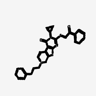 O=C(CSc1nc2sc3c(c2c(=O)n1C1CC1)CCN(CCCc1ccccc1)C3)c1ccccc1